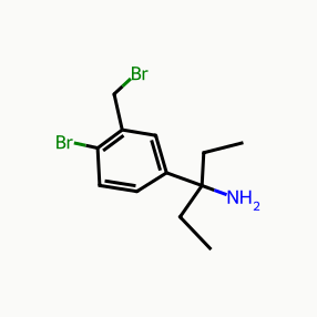 CCC(N)(CC)c1ccc(Br)c(CBr)c1